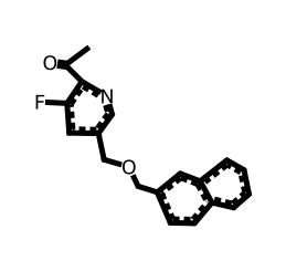 CC(=O)c1ncc(COCc2ccc3ccccc3c2)cc1F